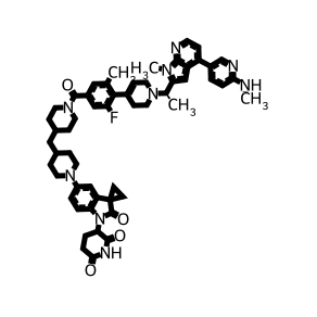 CNc1ccc(-c2ccnc3c2cc([C@H](C)N2CC=C(c4c(C)cc(C(=O)N5CCC(CC6CCN(c7ccc8c(c7)C7(CC7)C(=O)N8C7CCC(=O)NC7=O)CC6)CC5)cc4F)CC2)n3C)cn1